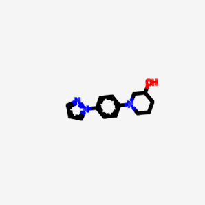 OC1CCCN(c2ccc(-n3cccn3)cc2)C1